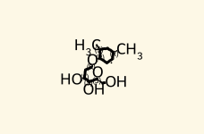 C[C@@H]1C[CH][C@@H](O[C@H]2C[C@H](O)[C@H](O)[C@H](CO)O2)[C@@H](C)C1